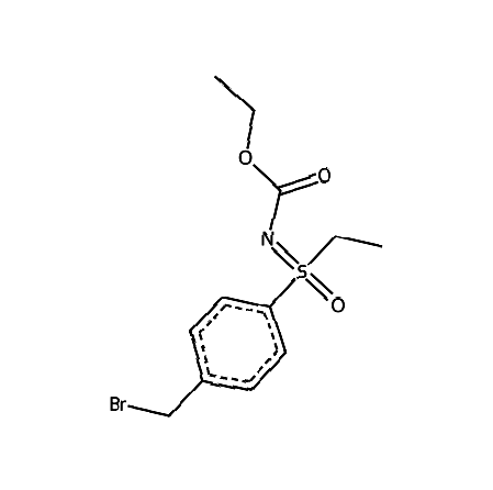 CCOC(=O)N=S(=O)(CC)c1ccc(CBr)cc1